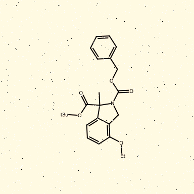 CCOc1cccc2c1CN(C(=O)OCc1ccccc1)C2(C)C(=O)OC(C)(C)C